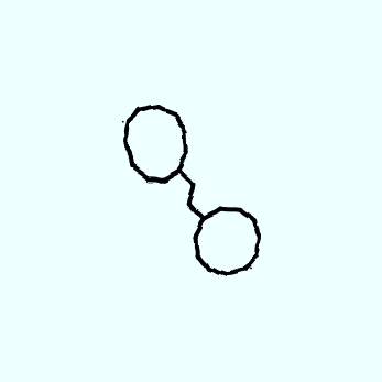 [CH]1CCCCCC(CCC2CCCC[CH]CCCCC2)CCCC1